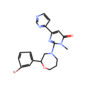 Cn1c(N2CCCOC(c3cccc(Br)c3)C2)nc(-c2ccncn2)cc1=O